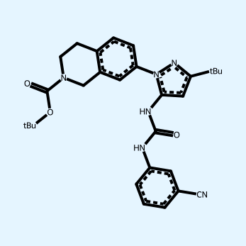 CC(C)(C)OC(=O)N1CCc2ccc(-n3nc(C(C)(C)C)cc3NC(=O)Nc3cccc(C#N)c3)cc2C1